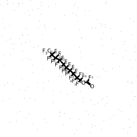 O=C(F)OC(F)(F)C(F)(F)C(F)(F)C(F)(F)C(F)(F)C(F)(F)C(F)(F)C(F)(F)C(F)(F)C(F)(F)F